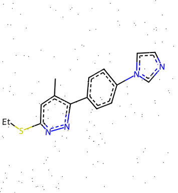 CCSc1cc(C)c(-c2ccc(-n3ccnc3)cc2)nn1